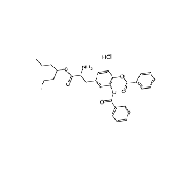 CCCC(CCC)OC(=O)C(N)Cc1ccc(OC(=O)c2ccccc2)c(OC(=O)c2ccccc2)c1.Cl